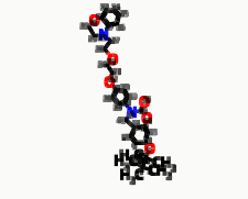 CC(C)(C)[Si](C)(C)Oc1ccc2c(c1)OC(=O)N(c1ccc(OCCOCCN3CCOc4ccccc43)cc1)C2